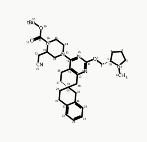 CN1CCC[C@H]1COc1nc2c(c(N3CCN(C(=O)OC(C)(C)C)C(CC#N)C3)n1)CC[C@]1(CCc3ccccc3C1)C2